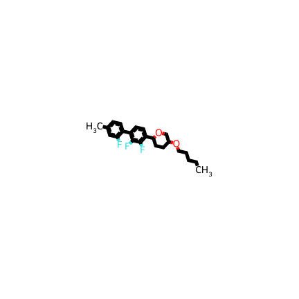 CCCCCOC1CCC(c2ccc(-c3ccc(C)cc3F)c(F)c2F)OC1